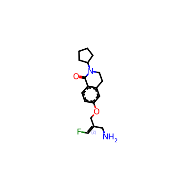 NC/C(=C/F)COc1ccc2c(c1)CCN(C1CCCC1)C2=O